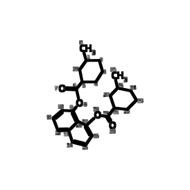 CC1CCCC(C(=O)Oc2cccc3cccc(OC(=O)C4CCCC(C)C4)c23)C1